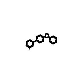 [c]1cccc(-c2ccc(Oc3ccccc3)cc2)c1